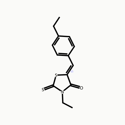 CCc1ccc(/C=C2\SC(=S)N(CC)C2=O)cc1